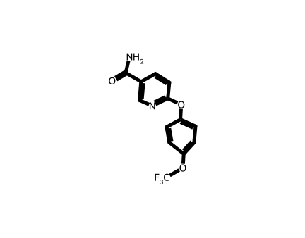 NC(=O)c1ccc(Oc2ccc(OC(F)(F)F)cc2)nc1